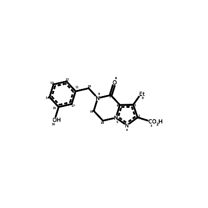 CCc1c(C(=O)O)nn2c1C(=O)N(Cc1cccc(O)c1)CC2